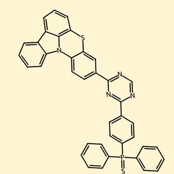 S=P(c1ccccc1)(c1ccccc1)c1ccc(-c2ncnc(-c3ccc4c(c3)Sc3cccc5c6ccccc6n-4c35)n2)cc1